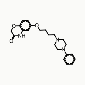 O=C1COc2ccc(OCCCCN3CCN(c4ccccc4)CC3)cc2N1